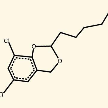 CCCCCC1OCc2cc(Cl)cc(Cl)c2O1